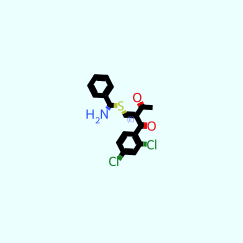 CC(=O)/C(=C\SC(N)c1ccccc1)C(=O)c1ccc(Cl)cc1Cl